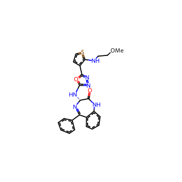 COCCNc1sccc1-c1nnc(N[C@H]2N=C(c3ccccc3)c3ccccc3NC2=O)o1